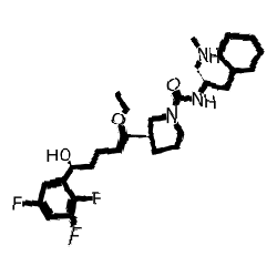 CCOC(CCC[C@H](O)c1cc(F)cc(F)c1F)[C@@H]1CCCN(C(=O)N[C@H](CNC)CC2CCCCC2)C1